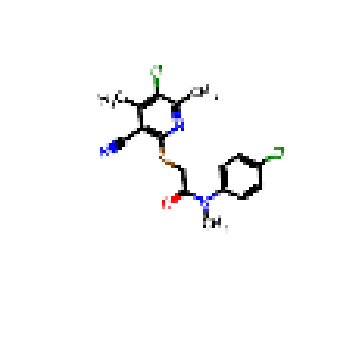 Cc1nc(SCC(=O)N(C)c2ccc(Cl)cc2)c(C#N)c(C)c1Cl